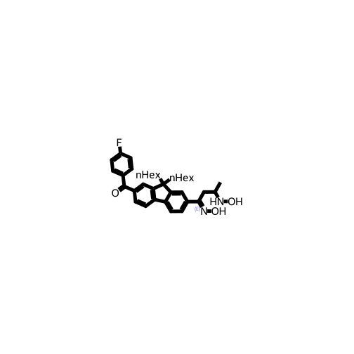 CCCCCCC1(CCCCCC)c2cc(C(=O)c3ccc(F)cc3)ccc2-c2ccc(/C(CC(C)NO)=N/O)cc21